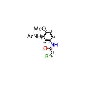 COc1ccc(NC(=O)CBr)cc1NC(C)=O